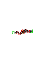 O=S(=O)(c1ccc(OCCOCCCl)cc1)c1ccc(OCCOCCCl)cc1